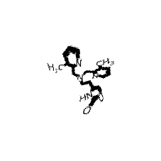 Cc1cccnc1CN(CCc1coc(=O)[nH]1)Cc1ncccc1C